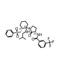 CC(C)CN[C@]1(N2CC[C@H](NC(=O)c3cccc(C(F)(F)F)c3)C2=O)CCCC[C@H]1CS(=O)(=O)c1ccccc1